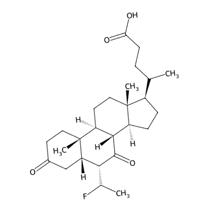 CC(F)[C@H]1C(=O)[C@@H]2[C@H](CC[C@]3(C)[C@@H](C(C)CCC(=O)O)CC[C@@H]23)[C@@]2(C)CCC(=O)C[C@@H]12